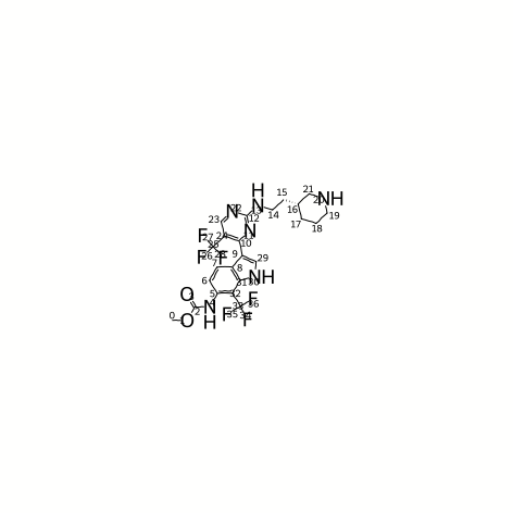 COC(=O)Nc1ccc2c(-c3nc(NCC[C@H]4CCCNC4)ncc3C(F)(F)F)c[nH]c2c1C(F)(F)F